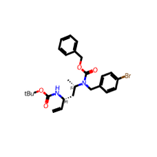 C=C[C@@H](C[C@H](C)N(Cc1ccc(Br)cc1)C(=O)OCc1ccccc1)NC(=O)OC(C)(C)C